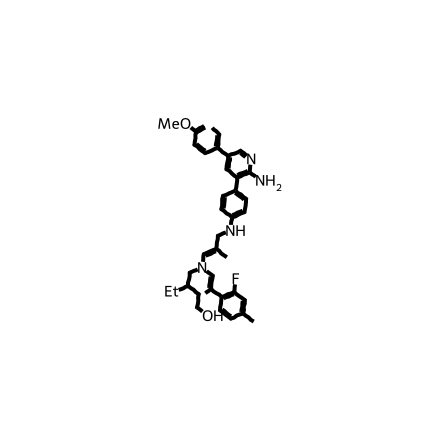 C=C(/C=C\C(=C/C)c1cnc(N)c(-c2ccc(NC/C(C)=C/N(/C=C(\C)c3ccc(C)cc3F)CC(CC)CCO)cc2)c1)OC